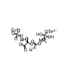 CC(=O)[O-].O=C([O-])C(=O)[O-].O=P([O-])(O)O.O=P([O-])([O-])[O-].[Cu+2].[Fe+2].[Li+].[NH4+].[NH4+]